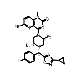 CC[C@H]1CN([C@@H](c2ccc(F)cc2)c2nc(C3CC3)no2)[C@H](CC)CN1c1nc(=O)n(C)c2ccc(C#N)nc12